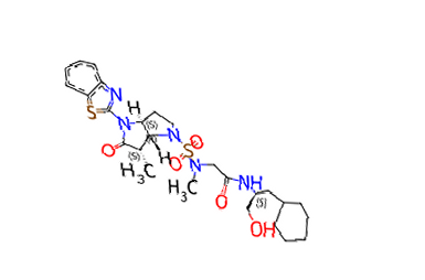 C[C@@H]1C(=O)N(c2nc3ccccc3s2)[C@H]2CCN(S(=O)(=O)N(C)CC(=O)N[C@H](CO)CC3CCCCC3)[C@H]12